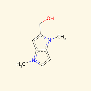 Cn1ccc2c1cc(CO)n2C